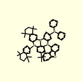 CC(C)(C)c1cc2c3c(c1)N(c1cccc4oc5ccccc5c14)c1cc(N(c4ccccc4)c4ccccc4)ccc1B3c1cc3c(cc1N2c1ccc2c(c1)C(C)(C)CCC2(C)C)C(C)(C)CCC3(C)C